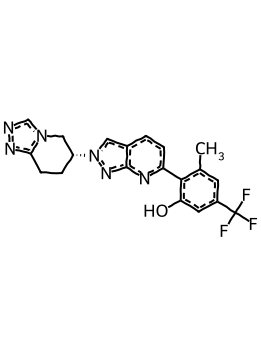 Cc1cc(C(F)(F)F)cc(O)c1-c1ccc2cn([C@@H]3CCc4nncn4C3)nc2n1